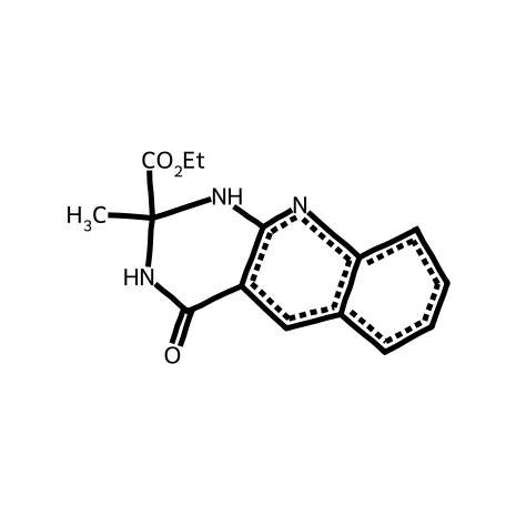 CCOC(=O)C1(C)NC(=O)c2cc3ccccc3nc2N1